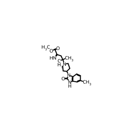 COC(=O)C(=N)CC(C)(C)N1CCC(n2c(=O)[nH]c3cc(C)ccc32)CC1